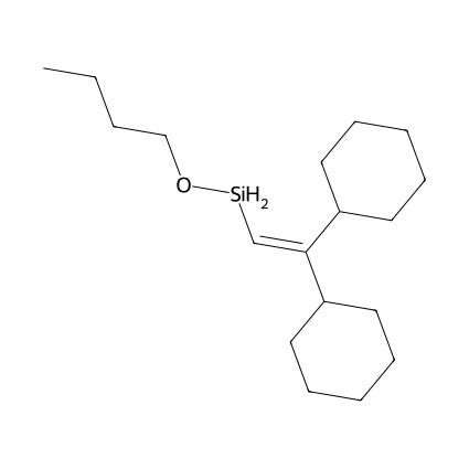 CCCCO[SiH2]C=C(C1CCCCC1)C1CCCCC1